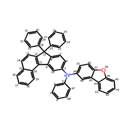 c1ccc(N(c2ccc3c(c2)-c2c(ccc4ccccc24)C3(c2ccccc2)c2ccccc2)c2ccc3oc4ccccc4c3c2)cc1